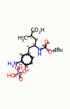 CC(CC(Cc1ccc(OP(=O)(O)O)c(N)c1)NC(=O)OC(C)(C)C)C(=O)O